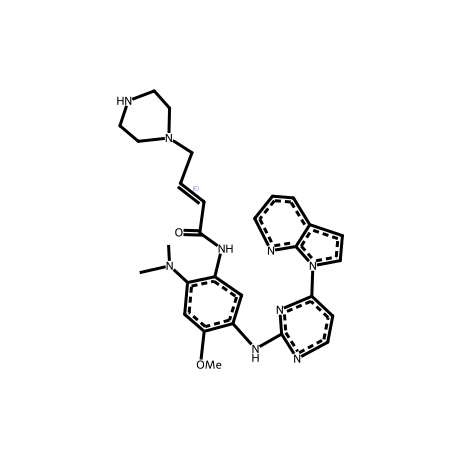 COc1cc(N(C)C)c(NC(=O)/C=C/CN2CCNCC2)cc1Nc1nccc(-n2ccc3cccnc32)n1